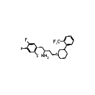 NC(CCN1CCCC(c2ccccc2C(F)(F)F)C1)Cc1cc(F)c(F)cc1F